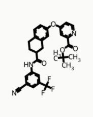 CC(C)(C)OC(=O)c1cc(Oc2ccc3c(c2)CC(C(=O)Nc2cc(C#N)cc(C(F)(F)F)c2)CC3)ccn1